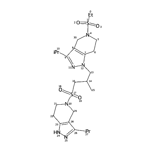 CCS(=O)(=O)N1CCc2c(c(C(C)C)nn2CC(C)CS(=O)(=O)N2CCc3[nH]nc(C(C)C)c3C2)C1